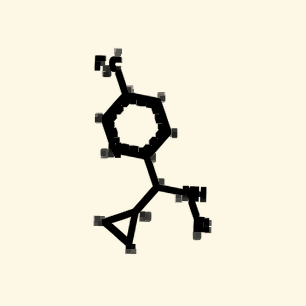 CCNC(c1ccc(C(F)(F)F)cn1)C1CC1